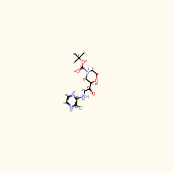 CC(C)(C)OC(=O)N1CCOC(C(=O)CNc2nccnc2Cl)C1